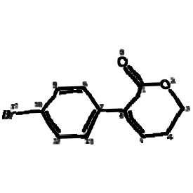 O=C1OCCC=C1c1ccc(Br)cc1